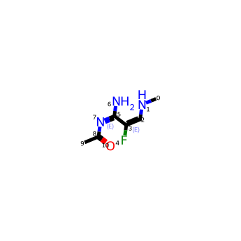 CN/C=C(F)\C(N)=N/C(C)=O